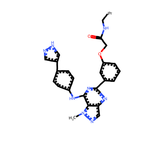 CC(C)CNC(=O)COc1cccc(-c2nc(Nc3ccc(-c4cn[nH]c4)cc3)c3c(cnn3C)n2)c1